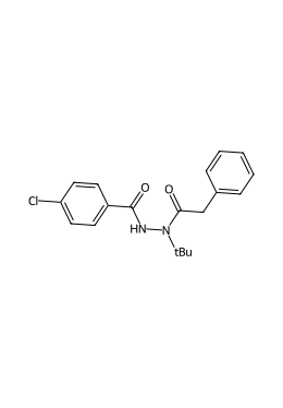 CC(C)(C)N(NC(=O)c1ccc(Cl)cc1)C(=O)Cc1ccccc1